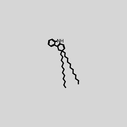 CCCCCCCCCCCCC1(CCCCCCCCCCCC)C=Cc2[nH]c3ccccc3c2C1